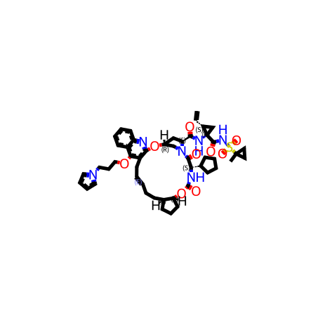 C=C[C@@H]1C[C@]1(NC(=O)[C@@H]1C[C@@H]2CN1C(=O)[C@H](C1CCCC1)NC(=O)O[C@@H]1CCC[C@H]1CC/C=C/Cc1c(nc3ccccc3c1OCCCn1cccc1)O2)C(=O)NS(=O)(=O)C1(C)CC1